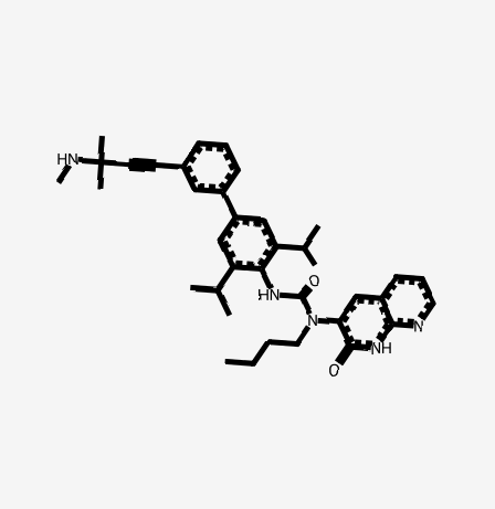 CCCCN(C(=O)Nc1c(C(C)C)cc(-c2cccc(C#CC(C)(C)NC)c2)cc1C(C)C)c1cc2cccnc2[nH]c1=O